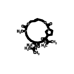 CC(C)N[C@]1(C)CCCN(C)C(=O)OC/C=C/COC(=O)N2CC[C@](C(=O)C(C)C)(C2)NCC1=O